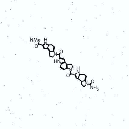 CNC(=O)C1=CC2=C3CCN(C(=O)c4cc5c6c(ccc5[nH]4)N(C(=O)C4=CC5C(CC=C7C5CCN7C(N)=O)N4)CC6)C3=CCC2N1